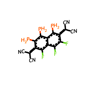 N#CC(C#N)=c1c(P)c(P)c2c(P)c(=C(C#N)C#N)c(F)c(F)c2c1F